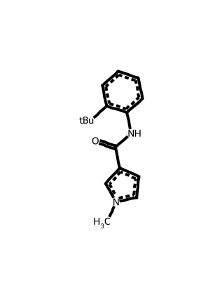 Cn1ccc(C(=O)Nc2ccccc2C(C)(C)C)c1